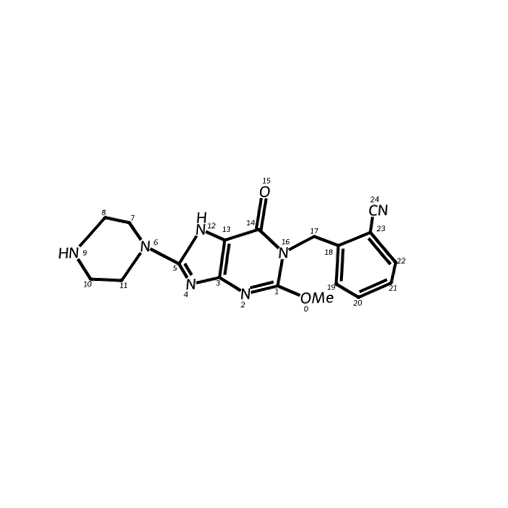 COc1nc2nc(N3CCNCC3)[nH]c2c(=O)n1Cc1ccccc1C#N